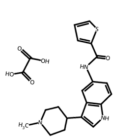 CN1CCC(c2c[nH]c3ccc(NC(=O)c4cccs4)cc23)CC1.O=C(O)C(=O)O